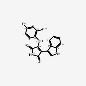 O=C1NC(=O)C(c2c[nH]c3ccccc23)=C1Nc1ccc(F)cc1F